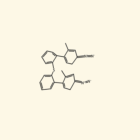 CC1=CC(=[N+]=[N-])CC=C1c1ccccc1Sc1ccccc1C1=CCC(=[N+]=[N-])C=C1C